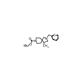 CC1CN(Cc2ccccc2)CC12CCN(C(=O)OC(C)(C)C)CC2